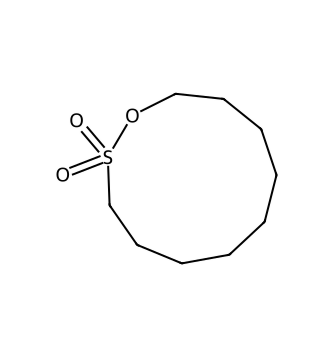 O=S1(=O)CCCCCCCCCO1